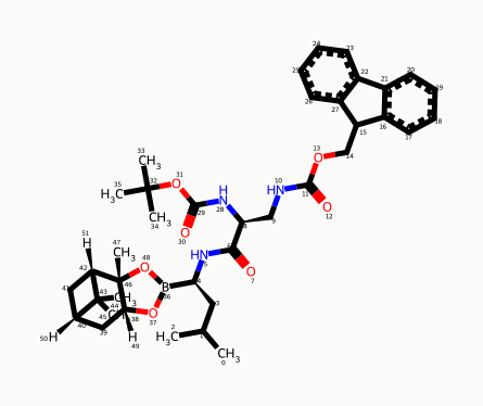 CC(C)C[C@H](NC(=O)[C@H](CNC(=O)OCC1c2ccccc2-c2ccccc21)NC(=O)OC(C)(C)C)B1O[C@@H]2C[C@@H]3C[C@@H](C3(C)C)[C@]2(C)O1